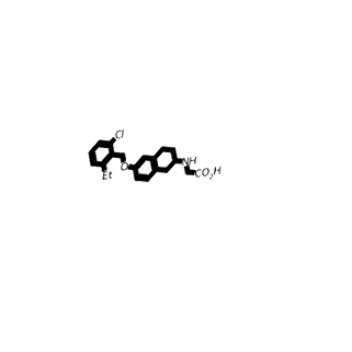 CCc1cccc(Cl)c1COc1ccc2c(c1)CCC(NCC(=O)O)C2